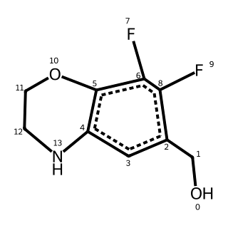 OCc1cc2c(c(F)c1F)OCCN2